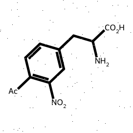 CC(=O)c1ccc(CC(N)C(=O)O)cc1[N+](=O)[O-]